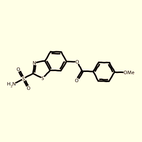 COc1ccc(C(=O)Oc2ccc3nc(S(N)(=O)=O)sc3c2)cc1